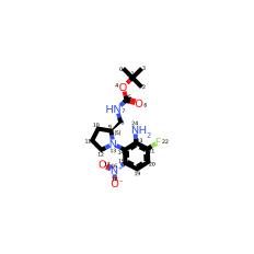 CC(C)(C)OC(=O)NC[C@@H]1CCCN1c1c([N+](=O)[O-])ccc(F)c1N